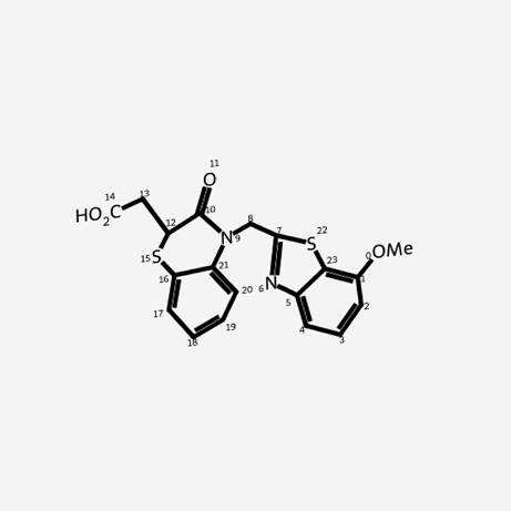 COc1cccc2nc(CN3C(=O)C(CC(=O)O)Sc4ccccc43)sc12